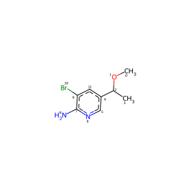 COC(C)c1cnc(N)c(Br)c1